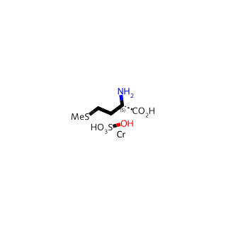 CSCC[C@H](N)C(=O)O.O=S(=O)(O)O.[Cr]